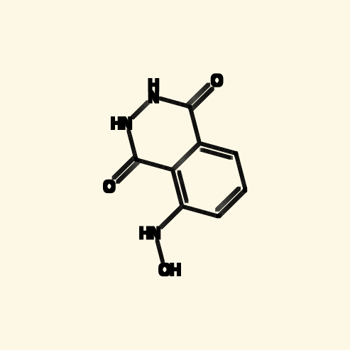 O=c1[nH][nH]c(=O)c2c(NO)cccc12